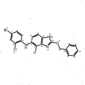 Fc1c(Nc2ccc(Br)cc2Cl)[c]cc2[nH]c(OCc3ccccc3)nc12